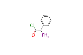 O=C(Cl)C(P)c1ccccc1